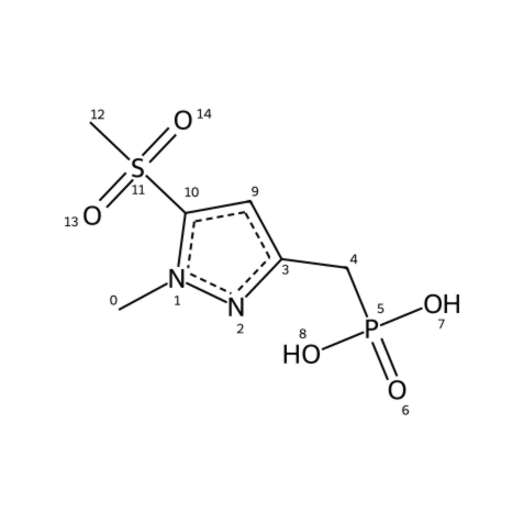 Cn1nc(CP(=O)(O)O)cc1S(C)(=O)=O